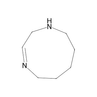 C1=NCCCCCNC1